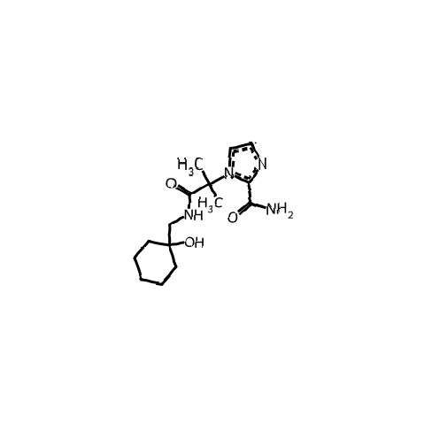 CC(C)(C(=O)NCC1(O)CCCCC1)n1c[c]nc1C(N)=O